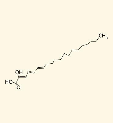 CCCCCCCCCCCCC/C=C/C=C/C=C(\O)C(=O)O